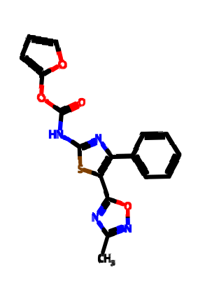 Cc1noc(-c2sc(NC(=O)Oc3ccco3)nc2-c2ccccc2)n1